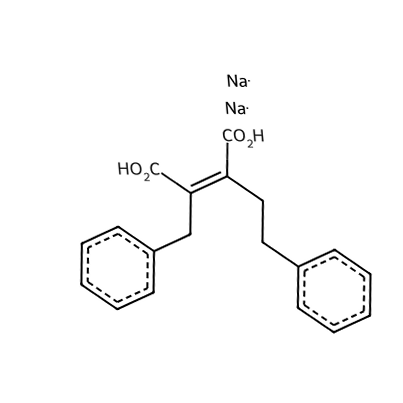 O=C(O)C(CCc1ccccc1)=C(Cc1ccccc1)C(=O)O.[Na].[Na]